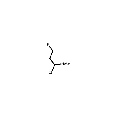 CCC(CCF)NC